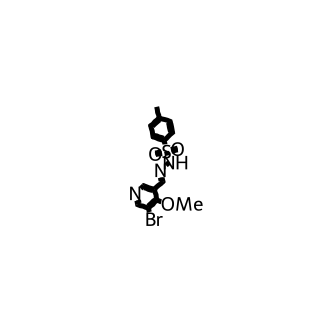 COc1c(Br)cncc1C=NNS(=O)(=O)c1ccc(C)cc1